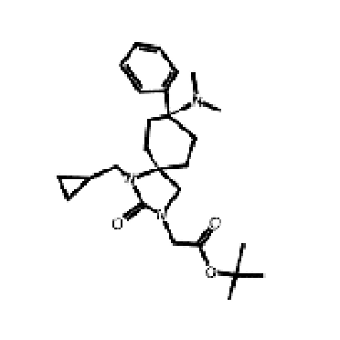 CN(C)[C@]1(c2ccccc2)CC[C@@]2(CC1)CN(CC(=O)OC(C)(C)C)C(=O)N2CC1CC1